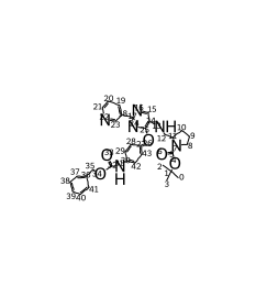 CC(C)(C)OC(=O)N1CCCC1CNc1cnc(-c2cccnc2)nc1Oc1ccc(NC(=O)OCc2ccccc2)cc1